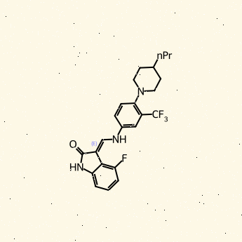 CCCC1CCN(c2ccc(N/C=C3/C(=O)Nc4cccc(F)c43)cc2C(F)(F)F)CC1